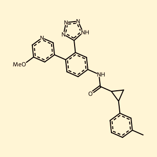 COc1cncc(-c2ccc(NC(=O)C3CC3c3cccc(C)c3)cc2-c2nnn[nH]2)c1